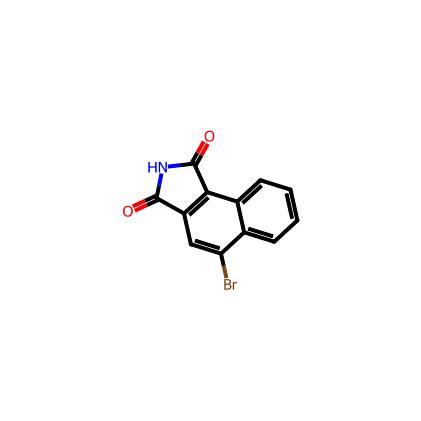 O=C1NC(=O)c2c1cc(Br)c1ccccc21